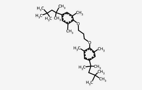 Cc1cc(C(C)(C)CC(C)(C)C)cc(C)c1OCCCOc1c(C)cc(C(C)(C)CC(C)(C)C)cc1C